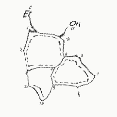 CCc1cc2c3c(cccc3c1O)C=C2